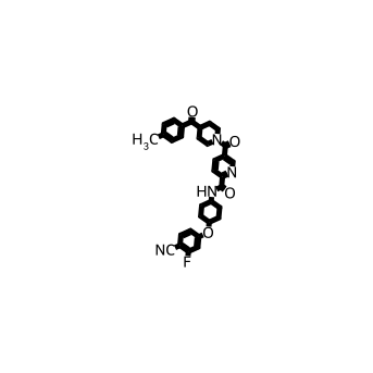 Cc1ccc(C(=O)C2CCN(C(=O)c3ccc(C(=O)NC4CCC(Oc5ccc(C#N)c(F)c5)CC4)nc3)CC2)cc1